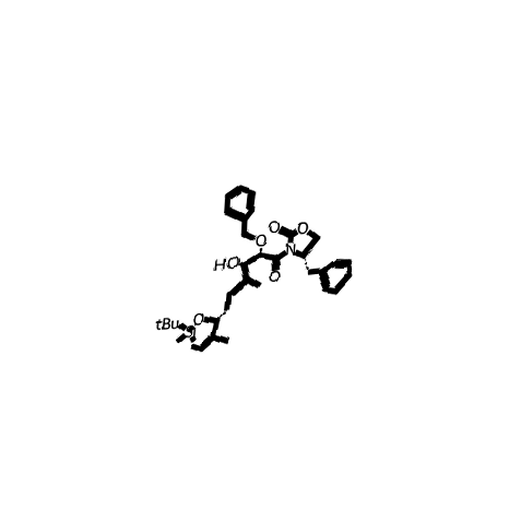 C/C=C(/C)[C@@H](C/C=C(\C)[C@@H](O)[C@H](OCc1ccccc1)C(=O)N1C(=O)OC[C@@H]1Cc1ccccc1)O[Si](C)(C)C(C)(C)C